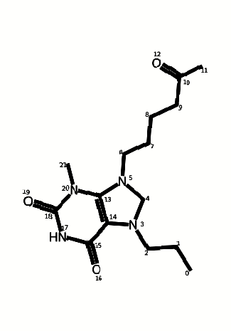 CCCN1CN(CCCCC(C)=O)c2c1c(=O)[nH]c(=O)n2C